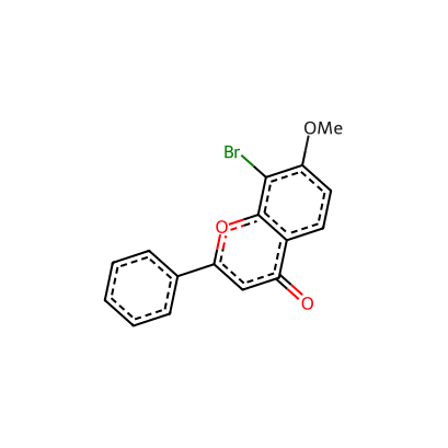 COc1ccc2c(=O)cc(-c3ccccc3)oc2c1Br